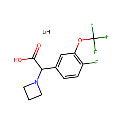 O=C(O)C(c1ccc(F)c(OC(F)(F)F)c1)N1CCC1.[LiH]